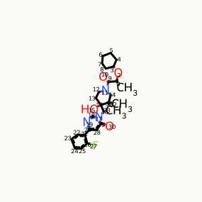 CC(OC1CCCCC1)C(=O)N1CCC(O)(Cn2cnc(-c3ccccc3F)cc2=O)C(C)(C)C1